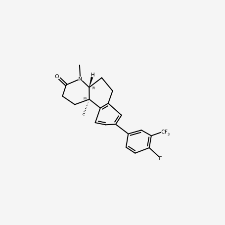 CN1C(=O)CC[C@]2(C)c3ccc(-c4ccc(F)c(C(F)(F)F)c4)cc3CC[C@@H]12